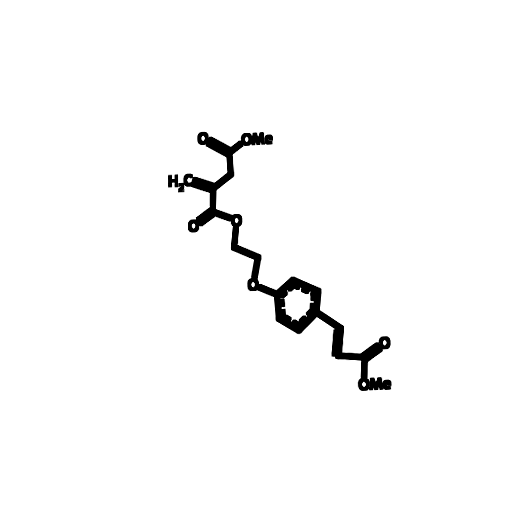 C=C(CC(=O)OC)C(=O)OCCOc1ccc(/C=C/C(=O)OC)cc1